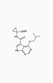 CC(C)COc1ncnc2[nH]cc(C(=O)NC3(C#N)CC3)c12